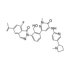 C=C(C)c1cc(F)c2c(=O)n(-c3cccc(-c4cc(Nc5ccc(C6CCCN6C)cn5)c(=O)n(C)n4)c3CO)ncc2c1